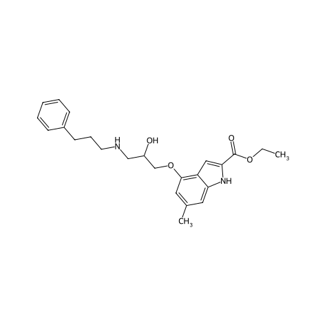 CCOC(=O)c1cc2c(OCC(O)CNCCCc3ccccc3)cc(C)cc2[nH]1